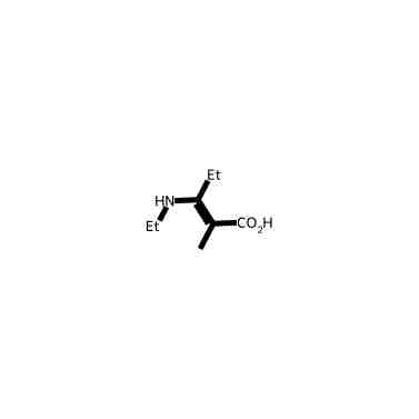 CCNC(CC)=C(C)C(=O)O